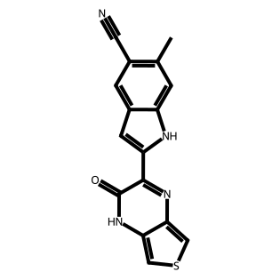 Cc1cc2[nH]c(-c3nc4cscc4[nH]c3=O)cc2cc1C#N